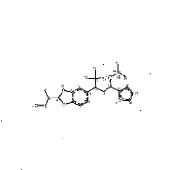 CC(C=O)C1Oc2ccc(C(CC(O[SiH](C)C)c3cccs3)C(C)(C)C)cc2O1